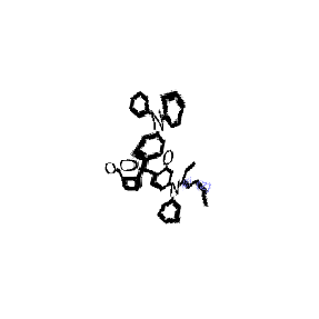 C=C/C(=C\C=C/C)N(c1ccccc1)C1C=CC2C(C1)Oc1cc(N(c3ccccc3)c3ccccc3)ccc1C21OC(=O)c2ccccc21